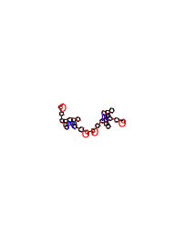 Cc1ccc(-c2ccc(-c3cccc(B4c5ccccc5N5c6ccc(-c7ccc(-c8cc(-c9cc(-c%10ccc(-c%11ccc%12c(c%11)B(c%11ccccc%11)c%11cc(-c%13ccc(-c%14ccc(C)o%14)cc%13)cc%13c%11N%12c%11ccccc%11B%13c%11ccccc%11)cc%10)oc9C)c(C)o8)cc7)cc6B(c6ccccc6)c6cccc4c65)c3)cc2)o1